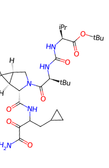 CC(C)[C@H](NC(=O)N[C@H](C(=O)N1C[C@H]2[C@@H]([C@H]1C(=O)NC(CC1CC1)C(=O)C(N)=O)C2(C)C)C(C)(C)C)C(=O)OC(C)(C)C